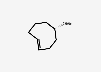 CO[C@@H]1CC/C=C/CCC1